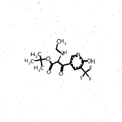 CCNC(C(=O)OC(C)(C)C)C(=O)c1cnc(O)c(C(F)(F)F)c1